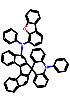 c1ccc(N2c3ccccc3C3(c4ccccc42)c2ccc4ccccc4c2-c2c3cc(N(c3ccccc3)c3cccc4c3oc3ccccc34)c3ccccc23)cc1